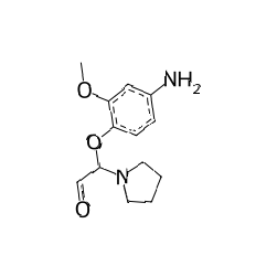 COc1cc(N)ccc1OC(C=O)N1CCCC1